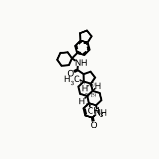 C[C@]12C=CC(=O)NC1CC[C@@H]1[C@H]2CC[C@]2(C)C(C(=O)NC3(c4ccc5c(c4)CCC5)CCCCC3)CC[C@@H]12